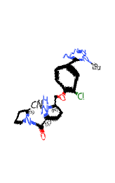 CC(C)(C)n1nnnc1-c1ccc(OC[C@H]2CC[C@@H](C(=O)N3CCC[C@H]3C#N)N2)c(Cl)c1